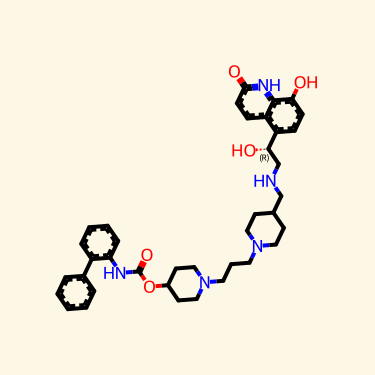 O=C(Nc1ccccc1-c1ccccc1)OC1CCN(CCCN2CCC(CNC[C@H](O)c3ccc(O)c4[nH]c(=O)ccc34)CC2)CC1